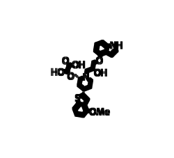 COc1cccc2sc([C@H]3CCN(C[C@H](O)COc4cccc5[nH]ccc45)[C@@H](C)C3)cc12.O=C(O)C(=O)O